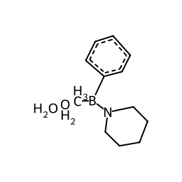 CB(c1ccccc1)N1CCCCC1.O.O